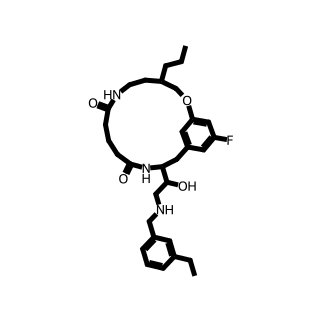 CCCC1CCNC(=O)CCCC(=O)NC(C(O)CNCc2cccc(CC)c2)Cc2cc(F)cc(c2)OC1